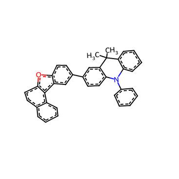 CC1(C)c2ccccc2N(c2ccccc2)c2ccc(-c3ccc4oc5ccc6ccccc6c5c4c3)cc21